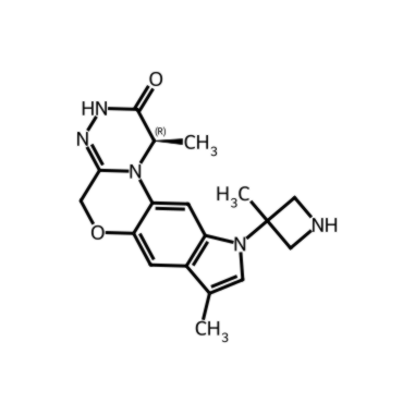 Cc1cn(C2(C)CNC2)c2cc3c(cc12)OCC1=NNC(=O)[C@@H](C)N13